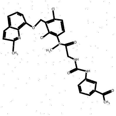 CC(=O)c1cccc(NC(=O)NCC(=O)N(C)c2ccc(Cl)c(COc3cccc4ccc(C)nc34)c2Cl)c1